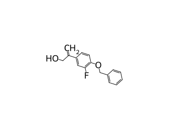 C=C(CO)c1ccc(OCc2ccccc2)c(F)c1